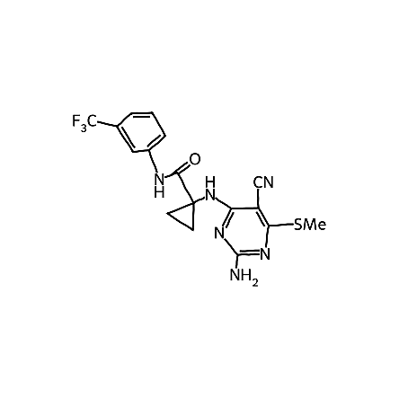 CSc1nc(N)nc(NC2(C(=O)Nc3cccc(C(F)(F)F)c3)CC2)c1C#N